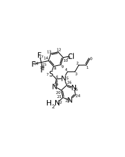 C=CCCCn1c(Sc2cc(Cl)ccc2C(F)(F)F)nc2c(N)ncnc21